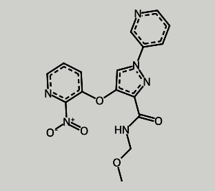 COCNC(=O)c1nn(-c2cccnc2)cc1Oc1cccnc1[N+](=O)[O-]